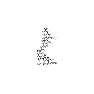 Cc1ccc(NC(=O)Nc2ccc(C)c(S(=O)(=O)Nc3cc(S(=O)(=O)O)cc4cc(O)ccc34)c2)cc1S(=O)(=O)Nc1cc(S(=O)(=O)O)cc2cc(O)ccc12